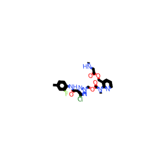 CNCC(=O)OCc1cccnc1N(C)C(=O)OCn1nc(Cl)c(C(=O)Nc2ccc(C)cc2F)n1